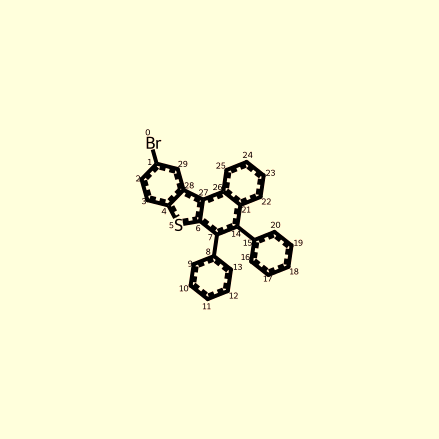 Brc1ccc2sc3c(-c4ccccc4)c(-c4ccccc4)c4ccccc4c3c2c1